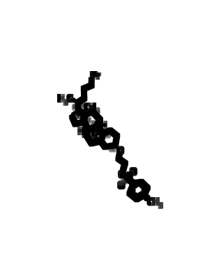 Cc1ccc(S(=O)(=O)OCCO[C@H]2CC[C@@]3(C)C(=CC[C@H]4[C@@H]5CC[C@H]([C@H](C)CCCC(C)C)[C@@]5(C)CC[C@@H]43)C2)cc1